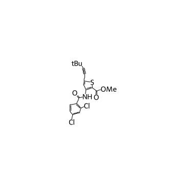 COC(=O)c1sc(C#CC(C)(C)C)cc1NC(=O)c1ccc(Cl)cc1Cl